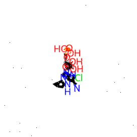 N#Cc1c(Cl)nc2c(ncn2[C@@H]2O[C@H](COCP(=O)(O)O)[C@@H](O)[C@H]2O)c1NC1CC2CC2C1